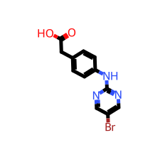 O=C(O)Cc1ccc(Nc2ncc(Br)cn2)cc1